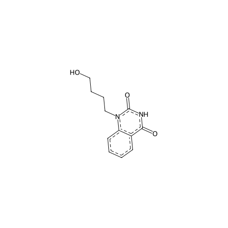 O=c1[nH]c(=O)n(CCCCO)c2ccccc12